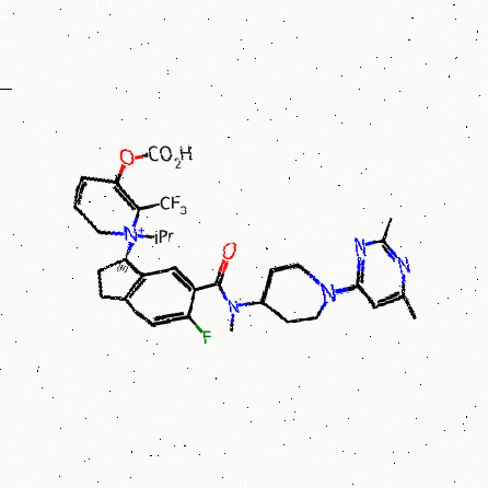 Cc1cc(N2CCC(N(C)C(=O)c3cc4c(cc3F)CC[C@H]4[N+]3(C(C)C)CC=CC(OC(=O)O)=C3C(F)(F)F)CC2)nc(C)n1